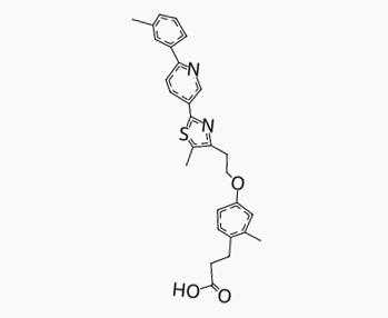 Cc1cccc(-c2ccc(-c3nc(CCOc4ccc(CCC(=O)O)c(C)c4)c(C)s3)cn2)c1